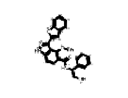 CCCOc1c(C(=O)NC(CO)c2ccccc2)ccc2[nH]nc(-c3cc4ccccc4o3)c12